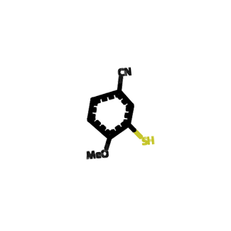 COc1ccc(C#N)cc1S